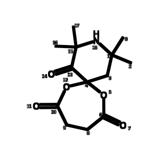 CC1(C)CC2(OC(=O)CCC(=O)O2)C(=O)C(C)(C)N1